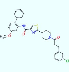 COc1ccc(-c2ccccc2)c(NC(=O)c2csc(C3CCN(C(=O)CCc4cccc(Cl)c4)CC3)n2)c1